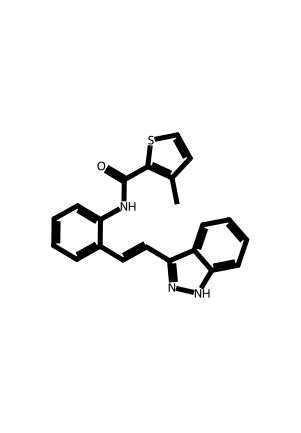 Cc1ccsc1C(=O)Nc1ccccc1C=Cc1n[nH]c2ccccc12